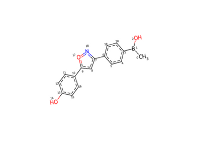 CB(O)c1ccc(-c2cc(-c3ccc(O)cc3)on2)cc1